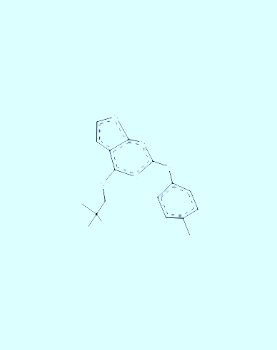 Oc1ccc(Nc2nc(NCC(F)(F)F)c3cc[nH]c3n2)cc1